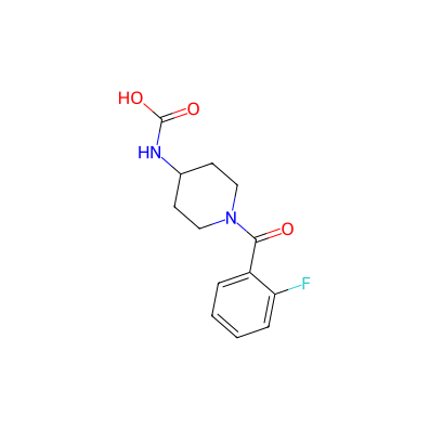 O=C(O)NC1CCN(C(=O)c2ccccc2F)CC1